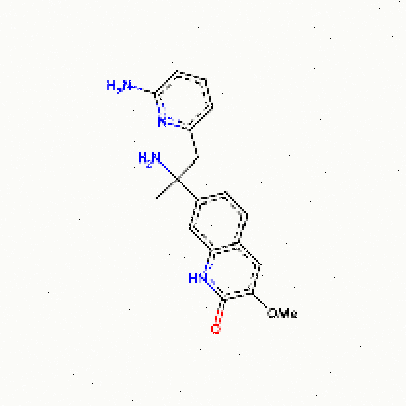 COc1cc2ccc(C(C)(N)Cc3cccc(N)n3)cc2[nH]c1=O